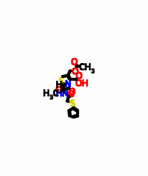 CO[C@@]1(NC(=O)CSc2ccccc2)C(=O)N2C(C(=O)O)=C(COC(C)=O)CS[C@H]21